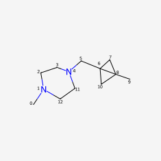 CN1CCN(CC23CC2(C)C3)CC1